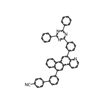 N#Cc1ccc(-c2cccc(-c3cc4c5cccnc5c(-c5cccc(-c6nc(-c7ccccc7)nc(-c7ccccc7)n6)c5)cc4c4ccccc34)c2)cc1